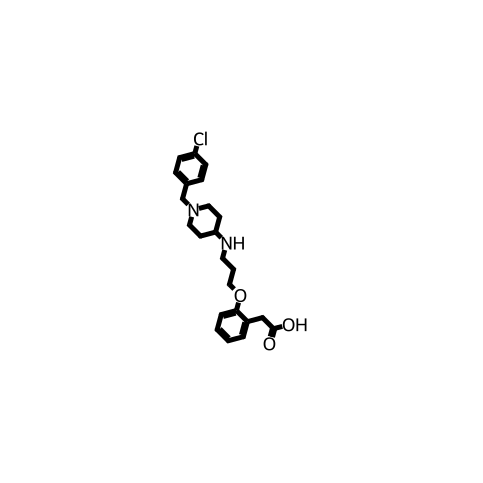 O=C(O)Cc1ccccc1OCCCNC1CCN(Cc2ccc(Cl)cc2)CC1